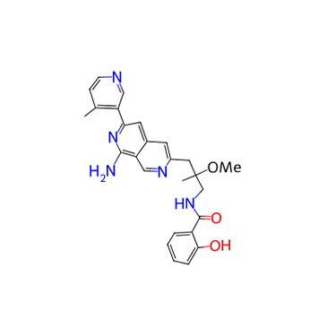 COC(C)(CNC(=O)c1ccccc1O)Cc1cc2cc(-c3cnccc3C)nc(N)c2cn1